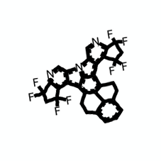 FC1(F)CC(F)(F)c2c1ncc1c2c2c3c4c(c5c6c7c(ncc6n1c25)C(F)(F)CC7(F)F)CCc1cccc(c1-4)CC3